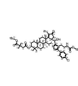 CC(C)C1=C2[C@H]3CC[C@]4(I)C5(C)CC[C@H](OC(=O)CC(C)(C)C(=O)OC(C)(C)C)C(C)(C)C5CC[C@@]4(C)[C@]3(C)CC[C@@]2([C@@H](O)c2nnc(-c3ccc(Cl)cc3)n2CCNC(=O)OC(C)(C)C)CC1=O